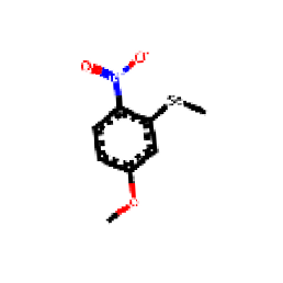 COc1ccc([N+](=O)[O-])c([Se]C)c1